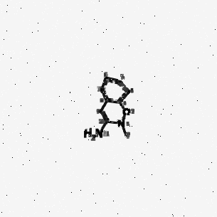 CN1Oc2ccccc2C=C1N